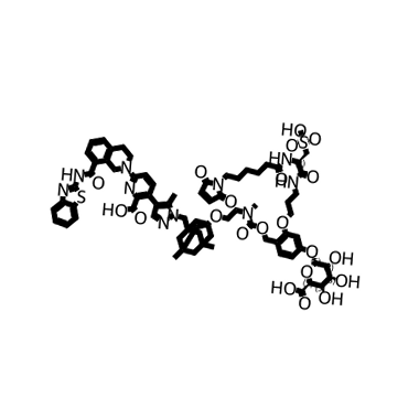 Cc1c(-c2ccc(N3CCc4cccc(C(=O)Nc5nc6ccccc6s5)c4C3)nc2C(=O)O)cnn1CC12CC3(C)CC(C)(C1)CC(OCCN(C)C(=O)OCc1ccc(O[C@@H]4O[C@H](C(=O)O)[C@@H](O)[C@H](O)[C@H]4O)cc1OCCCNC(=O)[C@H](CS(=O)(=O)O)NC(=O)CCCCCN1C(=O)C=CC1=O)(C3)C2